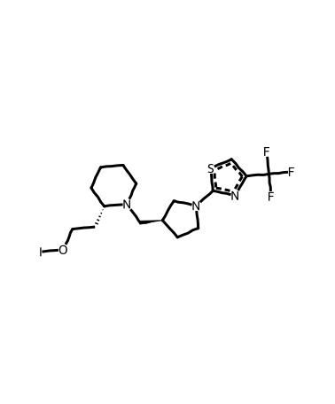 FC(F)(F)c1csc(N2CC[C@@H](CN3CCCC[C@H]3CCOI)C2)n1